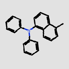 Cc1cccc2c(N(c3ccccc3)c3ccccc3)cccc12